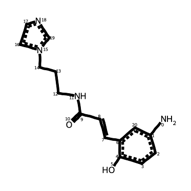 Nc1ccc(O)c(C=CC(=O)NCCCn2ccnc2)c1